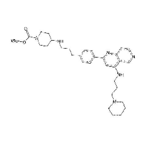 CC(C)(C)OC(=O)N1CCC(NCCCc2ccc(-c3cc(NCCCN4CCCCC4)c4cnccc4n3)cc2)CC1